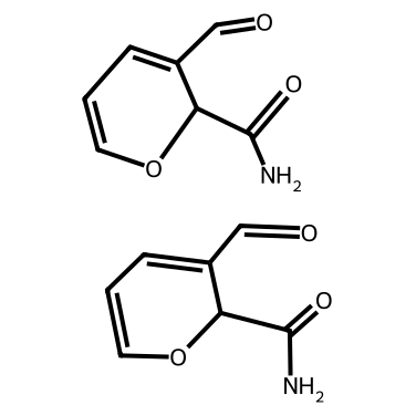 NC(=O)C1OC=CC=C1C=O.NC(=O)C1OC=CC=C1C=O